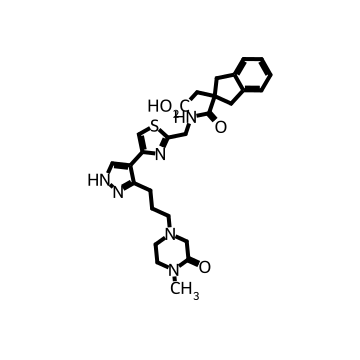 CN1CCN(CCCc2n[nH]cc2-c2csc(CNC(=O)C3(CC(=O)O)Cc4ccccc4C3)n2)CC1=O